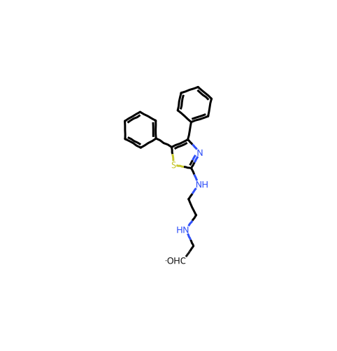 O=[C]CNCCNc1nc(-c2ccccc2)c(-c2ccccc2)s1